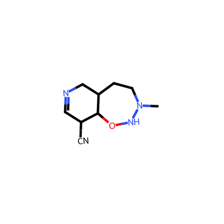 CN1CCC2CN=CC(C#N)C2ON1